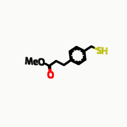 COC(=O)CCc1ccc(CS)cc1